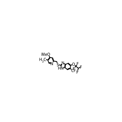 COc1cc(CSc2nc3cc(OC(F)(F)C(F)F)c(C(F)(F)F)cc3[nH]2)ncc1C